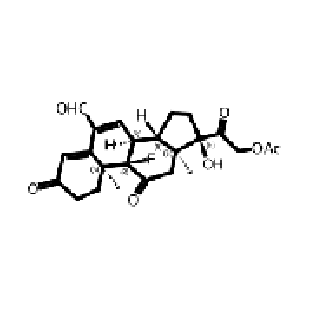 CC(=O)OCC(=O)[C@@]1(O)CC[C@H]2[C@@H]3C=C(C=O)C4=CC(=O)CC[C@]4(C)[C@@]3(F)C(=O)C[C@@]21C